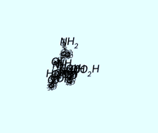 CC(=O)O.NCCCCc1ccc(CCC(NCCCN(CC(O)C(O)[C@@H]2OC(c3ccccc3)OC[C@H]2O)CC(O)C(O)[C@@H]2OC(c3ccccc3)OC[C@H]2O)C(N)=O)c2ccccc12